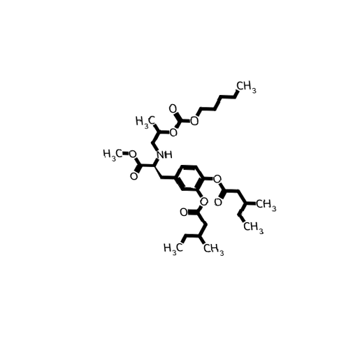 CCCCCOC(=O)OC(C)CN[C@@H](Cc1ccc(OC(=O)CC(C)CC)c(OC(=O)CC(C)CC)c1)C(=O)OC